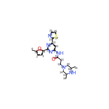 Cc1ccc(-c2nc(NC(=O)CCN3CC(C)NC(C)C3)cc(-c3nccs3)n2)o1